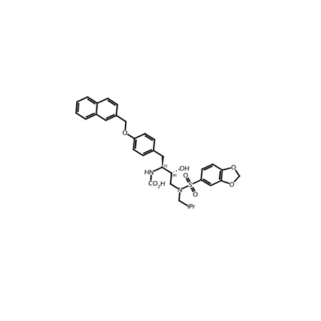 CC(C)CN(C[C@@H](O)[C@H](Cc1ccc(OCc2ccc3ccccc3c2)cc1)NC(=O)O)S(=O)(=O)c1ccc2c(c1)OCO2